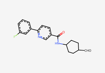 O=CC1CCC(NC(=O)c2ccc(-c3cccc(F)c3)nc2)CC1